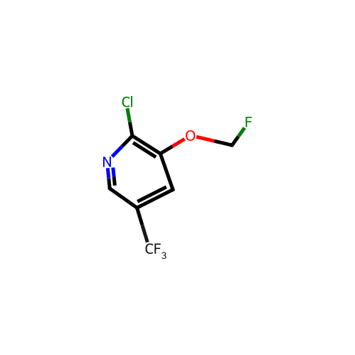 FCOc1cc(C(F)(F)F)cnc1Cl